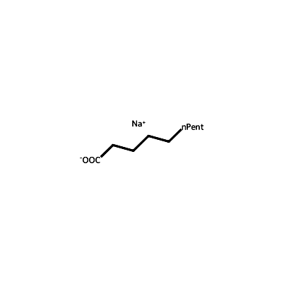 CCCCCCCCCC(=O)[O-].[Na+]